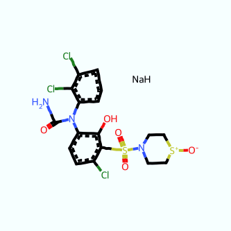 NC(=O)N(c1ccc(Cl)c(S(=O)(=O)N2CC[S+]([O-])CC2)c1O)c1cccc(Cl)c1Cl.[NaH]